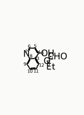 CCOC=O.Oc1ccnc2ccccc12